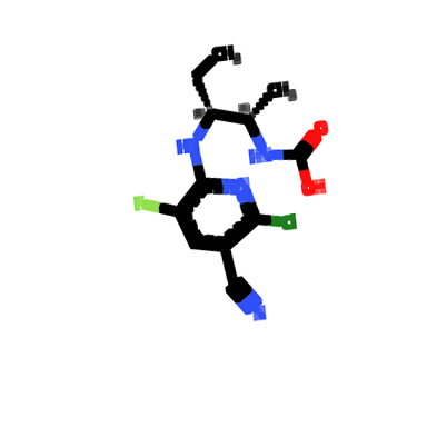 CC[C@@H](Nc1nc(Cl)c(C#N)cc1F)[C@H](C)NC(=O)O